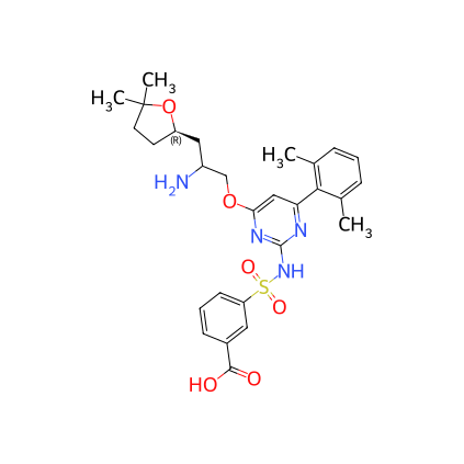 Cc1cccc(C)c1-c1cc(OCC(N)C[C@H]2CCC(C)(C)O2)nc(NS(=O)(=O)c2cccc(C(=O)O)c2)n1